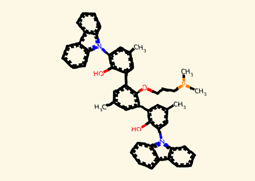 Cc1cc(-c2cc(C)cc(-n3c4ccccc4c4ccccc43)c2O)c(OCCCP(C)C)c(-c2cc(C)cc(-n3c4ccccc4c4ccccc43)c2O)c1